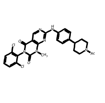 CC(=O)N1CCC(c2ccc(Nc3ncc4c(=O)n(-c5c(Cl)cccc5Cl)c(=O)n(C)c4n3)cc2)CC1